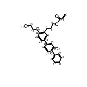 C=CC(=O)OCCCc1cc(-c2ccc(-c3ccccc3)c(C)c2)ccc1OCCO